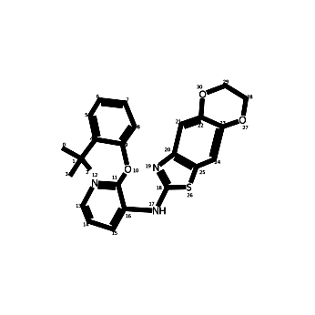 CC(C)(C)c1ccccc1Oc1ncccc1Nc1nc2cc3c(cc2s1)OCCO3